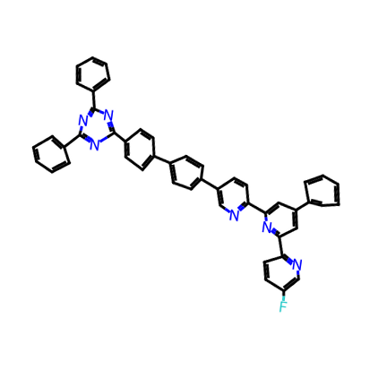 Fc1ccc(-c2cc(-c3ccccc3)cc(-c3ccc(-c4ccc(-c5ccc(-c6nc(-c7ccccc7)nc(-c7ccccc7)n6)cc5)cc4)cn3)n2)nc1